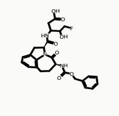 O=C(O)CC(NC(=O)[C@@H]1Cc2cccc3c2N1C(=O)[C@@H](NC(=O)OCc1ccccc1)CC3)C(O)CF